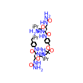 CC(C)Cc1ccc(NC(=O)[C@H](CCCNC(N)=O)NC(=O)[C@@H](NCC(C)(C)C(=O)OCc2ccc(NC(=O)[C@H](CCCNC(N)=O)NC(=O)[C@@H](N)C(C)C)cc2)C(C)C)cc1